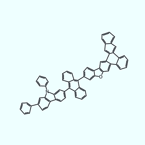 c1ccc(-c2ccc3c4ccc(-c5c6ccccc6c(-c6ccc7c(c6)oc6cc8c9ccccc9c9cc%10ccccc%10cc9c8cc67)c6ccccc56)cc4n(-c4ccccc4)c3c2)cc1